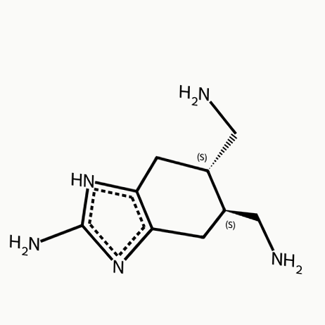 NC[C@H]1Cc2nc(N)[nH]c2C[C@@H]1CN